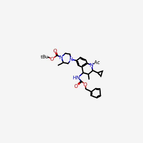 CC(=O)N1c2ccc(N3CCN(C(=O)OC(C)(C)C)C(C)C3)cc2C(NC(=O)OCc2ccccc2)C(C)C1C1CC1